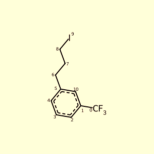 FC(F)(F)c1cccc(CCCI)c1